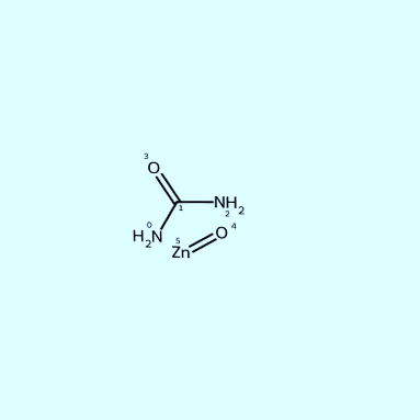 NC(N)=O.[O]=[Zn]